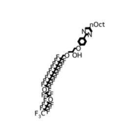 CCCCCCCCc1cnc(-c2ccc(OCC(O)COCC(F)(F)C(F)(F)C(F)(F)C(F)(F)C(F)(F)C(F)(F)C(F)(F)C(F)(F)C(F)(F)OC(F)(F)C(F)(F)OC(F)(F)C(F)(F)C(F)(F)C(F)(F)F)cc2)nc1